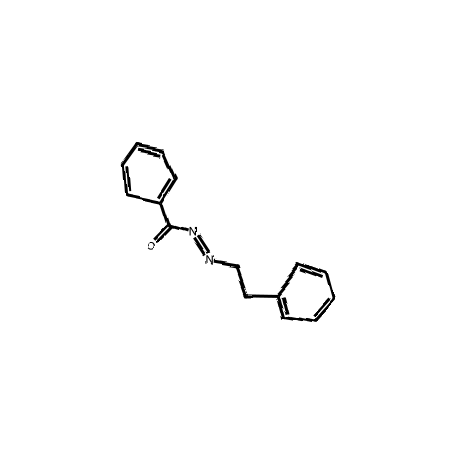 O=C(N=NCCc1ccccc1)c1ccccc1